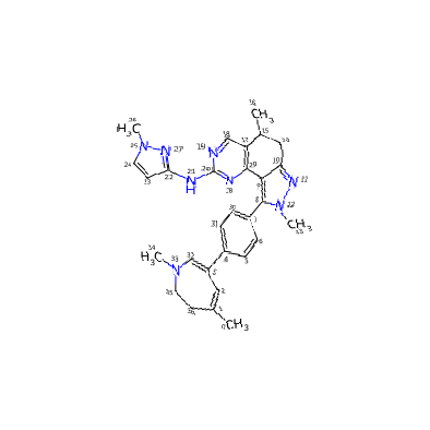 CC1=CC(c2ccc(-c3c4c(nn3C)CC(C)c3cnc(Nc5ccn(C)n5)nc3-4)cc2)=CN(C)CC1